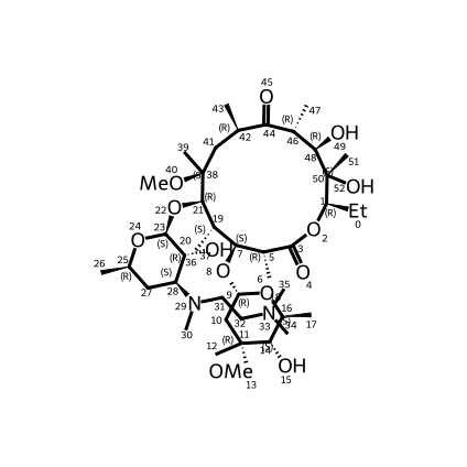 CC[C@H]1OC(=O)[C@H](C)[C@@H](O[C@H]2C[C@@](C)(OC)[C@@H](O)[C@H](C)O2)[C@H](C)[C@@H](O[C@@H]2O[C@H](C)C[C@H](N(C)CCN(C)C)[C@H]2O)[C@@](C)(OC)C[C@@H](C)C(=O)[C@H](C)[C@@H](O)[C@]1(C)O